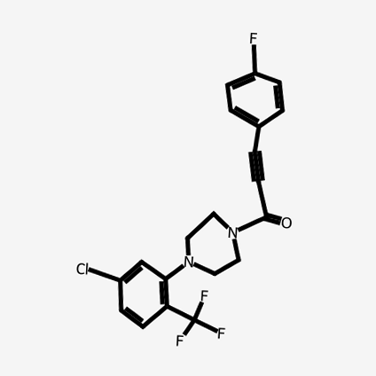 O=C(C#Cc1ccc(F)cc1)N1CCN(c2cc(Cl)ccc2C(F)(F)F)CC1